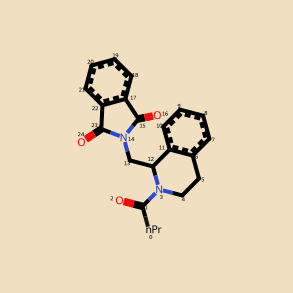 CCCC(=O)N1CCc2ccccc2C1CN1C(=O)c2ccccc2C1=O